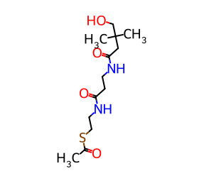 CC(=O)SCCNC(=O)CCNC(=O)CC(C)(C)CO